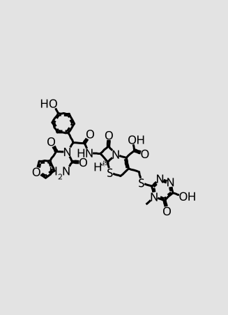 Cn1c(SCC2=C(C(=O)O)N3C(=O)C(NC(=O)C(c4ccc(O)cc4)N(C(N)=O)C(=O)c4ccoc4)[C@@H]3SC2)nnc(O)c1=O